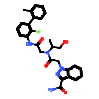 Cc1ccccc1-c1cccc(NC(=O)CN(C(=O)Cn2nc(C(N)=O)c3ccccc32)C(C)CO)c1F